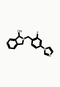 OC1c2ccccc2CN1Cc1ccc(-n2ccnc2)cc1F